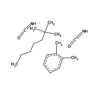 CCCCCC(C)(C)C.Cc1ccccc1C.N=C=O.N=C=O